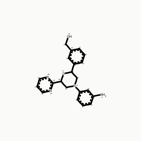 Nc1cccc(N2CC(c3cccc(CO)c3)OC(c3ncccn3)C2)c1